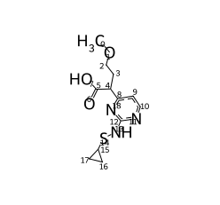 COCCC(C(=O)O)c1ccnc(NSC2CC2)n1